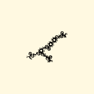 C=C(C)C(=O)OCCCOc1ccc(CCOC(=O)c2ccc(-c3ccc(OCCOC(=O)C(=C)C)cc3)cc2)cc1OCCCOC(=O)C(=C)C